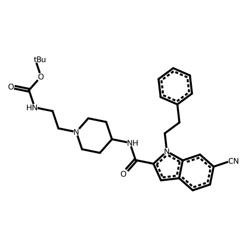 CC(C)(C)OC(=O)NCCN1CCC(NC(=O)c2cc3ccc(C#N)cc3n2CCc2ccccc2)CC1